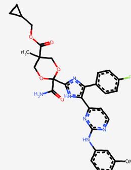 COc1cccc(Nc2nccc(-c3[nH]c(C4(C(N)=O)OCC(C)(C(=O)OCC5CC5)CO4)nc3-c3ccc(F)cc3)n2)c1